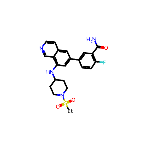 CCS(=O)(=O)N1CCC(Nc2cc(-c3ccc(F)c(C(N)=O)c3)cc3ccncc23)CC1